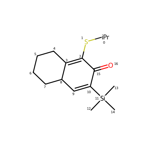 CC(C)SC1=C2CCCCC2C=C([Si](C)(C)C)C1=O